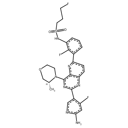 C[C@@H]1COCCN1c1nc(-c2cnc(N)cc2F)nc2ccc(-c3cccc(NS(=O)(=O)CCCF)c3F)nc12